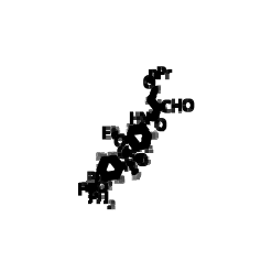 CCCOCCC(C=O)C(=O)Nc1ccc(S(=O)(=O)N(C)c2cccc(OC(F)(P)P)c2)c(OCC)c1